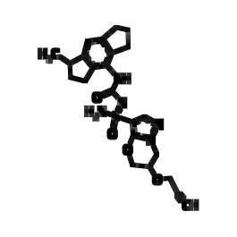 C#CCOC1COc2c(S(N)(=O)=NC(=O)Nc3c4c(cc5c3CCC5C)CCC4)cnn2C1